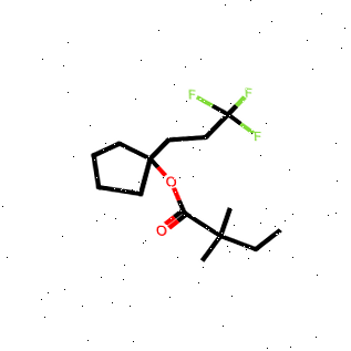 CCC(C)(C)C(=O)OC1(CCC(F)(F)F)CCCC1